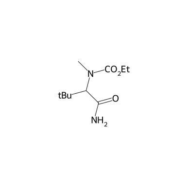 CCOC(=O)N(C)C(C(N)=O)C(C)(C)C